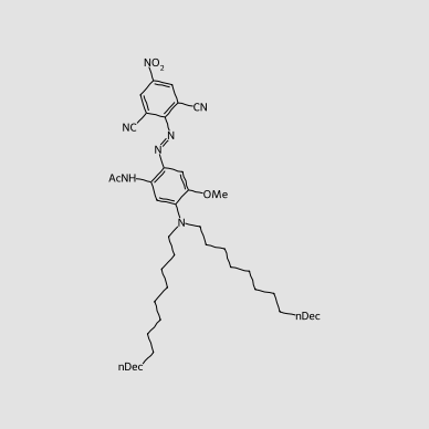 CCCCCCCCCCCCCCCCCCN(CCCCCCCCCCCCCCCCCC)c1cc(NC(C)=O)c(N=Nc2c(C#N)cc([N+](=O)[O-])cc2C#N)cc1OC